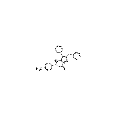 Cc1ccc(-c2cc(=O)n3nc(Cc4ccccc4)c(-c4ccccc4)c3[nH]2)cc1